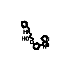 OC(CNCc1ccccc1)COc1cccc(-c2noc3ncccc23)c1